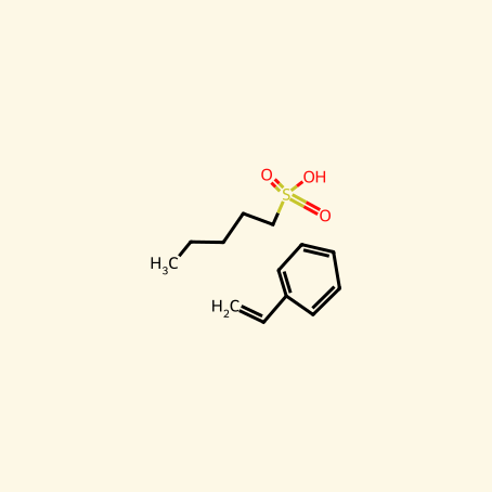 C=Cc1ccccc1.CCCCCS(=O)(=O)O